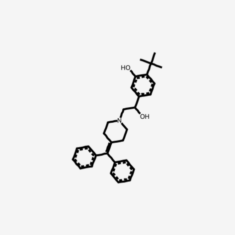 CC(C)(C)c1ccc(C(O)CN2CCC(=C(c3ccccc3)c3ccccc3)CC2)cc1O